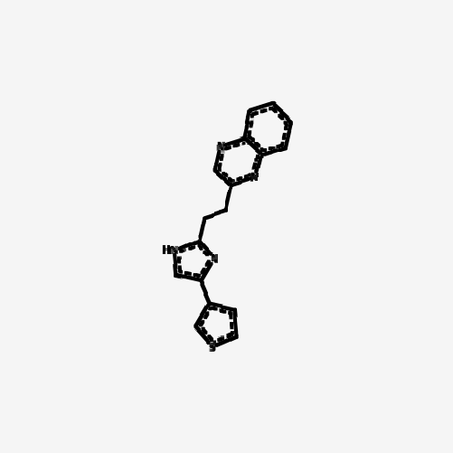 c1ccc2nc(CCc3nc(-c4ccsc4)c[nH]3)cnc2c1